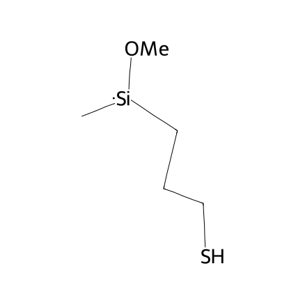 CO[Si](C)CCCS